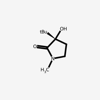 CN1CC[C@](O)(C(C)(C)C)C1=O